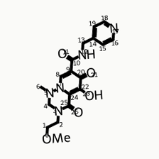 COCCN1CN(C)n2cc(C(=O)NCc3ccncc3)c(=O)c(O)c2C1=O